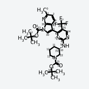 Cc1ccc2c(-c3nc(N[C@H]4CCCN(C(=O)OC(C)(C)C)C4)ncc3C(F)(F)F)cn(C(=O)OC(C)(C)C)c2n1